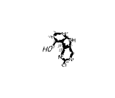 Oc1ncnc2[nH]c3cnc(Cl)nc3c12